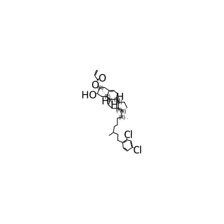 C=CC(=O)O[C@@H]1CC2=CC[C@H]3[C@@H]4CC[C@H]([C@H](C)CCCC(C)CCc5ccc(Cl)cc5Cl)[C@@]4(C)CC[C@@H]3[C@@]2(C)CC1O